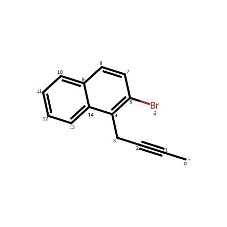 [CH2]C#CCc1c(Br)ccc2ccccc12